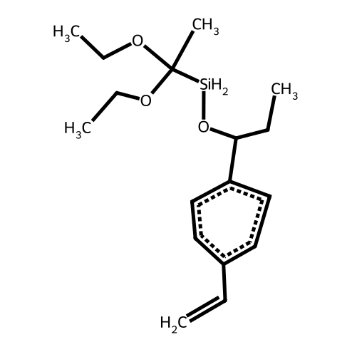 C=Cc1ccc(C(CC)O[SiH2]C(C)(OCC)OCC)cc1